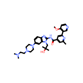 COc1ccncc1-c1cc(C(=O)Nc2nc3ccc(N4CCN(CCN(C)C)CC4)cc3n2CC(C)(C)O)cc(C)n1